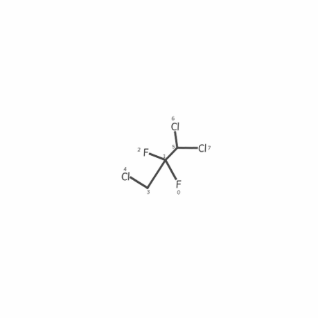 FC(F)(CCl)C(Cl)Cl